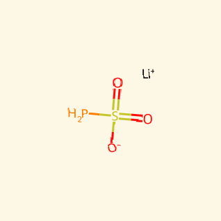 O=S(=O)([O-])P.[Li+]